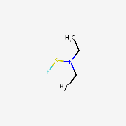 CCN(CC)SF